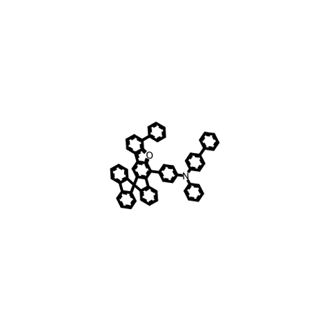 c1ccc(-c2ccc(N(c3ccccc3)c3ccc(-c4c5c(cc6c4oc4c(-c7ccccc7)cccc46)C4(c6ccccc6-c6ccccc64)c4ccccc4-5)cc3)cc2)cc1